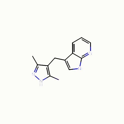 Cc1n[nH]c(I)c1Cc1c[nH]c2ncccc12